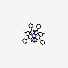 Cc1cc(C(c2ccccc2)c2ccccc2)c(-n2cc[n+](-c3c(C(c4ccccc4)c4ccccc4)cc(C)cc3C(c3ccccc3)c3ccccc3)c2)c(C(c2ccccc2)c2ccccc2)c1